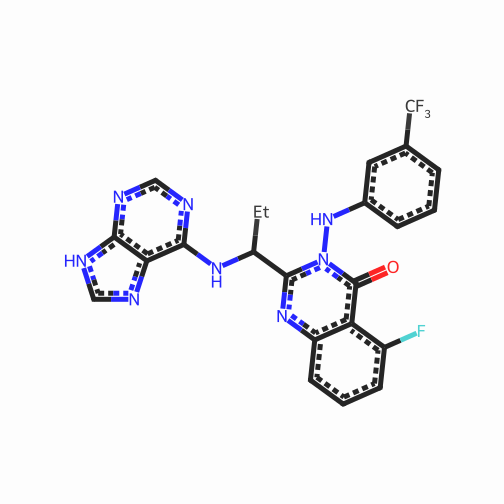 CCC(Nc1ncnc2[nH]cnc12)c1nc2cccc(F)c2c(=O)n1Nc1cccc(C(F)(F)F)c1